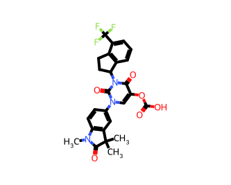 CN1C(=O)C(C)(C)c2cc(-n3cc(OC(=O)O)c(=O)n(C4CCc5c4cccc5C(F)(F)F)c3=O)ccc21